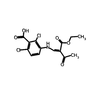 CCOC(=O)C(=CNc1ccc(Cl)c(C(=O)O)c1Cl)C(C)=O